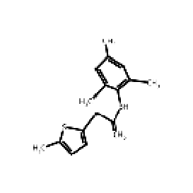 C=C(Bc1c(C)cc(C)cc1C)Cc1ccc(C)s1